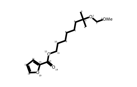 COCOC(C)(C)CCCCCCOC(=O)c1ccco1